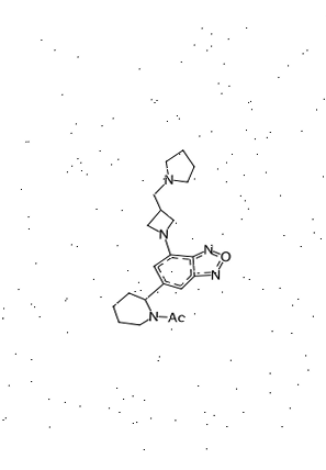 CC(=O)N1CCCCC1c1cc(N2CC(CN3CCCC3)C2)c2nonc2c1